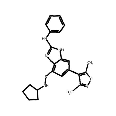 Cc1noc(C)c1-c1cc(SNC2CCCC2)c2nc(Nc3ccccc3)[nH]c2c1